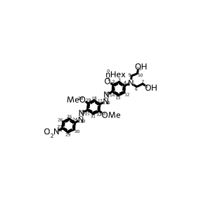 CCCCCCOc1cc(N(CCO)CCO)ccc1N=Nc1cc(OC)c(N=Nc2ccc([N+](=O)[O-])cc2)cc1OC